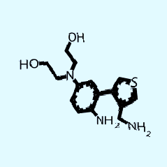 NCc1cscc1-c1cc(N(CCO)CCO)ccc1N